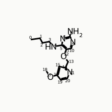 CCCCNc1nc(N)ncc1OCc1cc(OC)ccn1